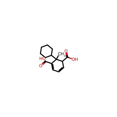 CC1(C2CCCCC2)C(C(=O)O)=CC=CC1C(=O)O